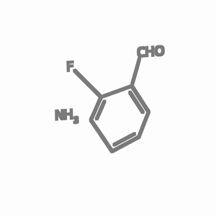 N.O=Cc1ccccc1F